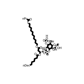 CCCCCCCCCCCCCCCC(=O)O[C@@H](COP(=O)(O)OC1C(O)[C@H](OP(=O)(O)O)C(O)[C@H](OP(=O)(O)O)[C@@H]1O)CC(=O)OCCCCCCCCCCCSC(=O)CCC